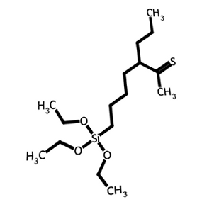 CCCC(CCCC[Si](OCC)(OCC)OCC)C(C)=S